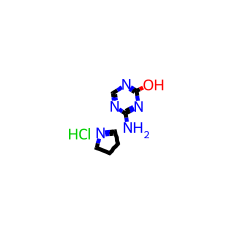 C1=NCCC1.Cl.Nc1ncnc(O)n1